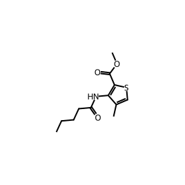 CCCCC(=O)Nc1c(C)csc1C(=O)OC